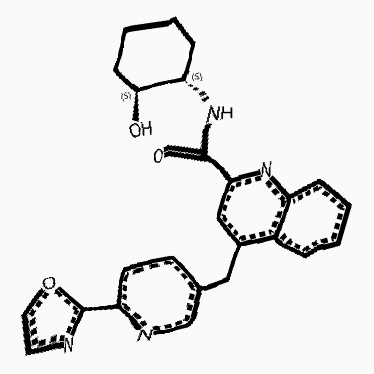 O=C(N[C@H]1CCCC[C@@H]1O)c1cc(Cc2ccc(-c3ncco3)nc2)c2ccccc2n1